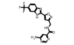 Nc1cc(C(=O)NCc2cc(-c3nc4ccc(C(F)(F)F)cc4[nH]3)on2)ncn1